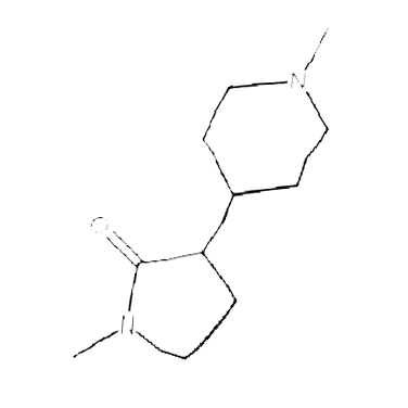 CN1CCC(C2CCN(C)C2=O)CC1